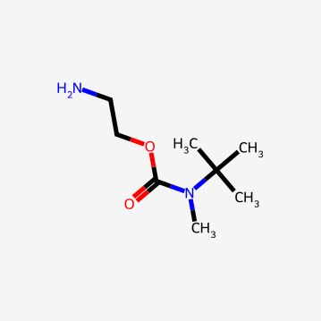 CN(C(=O)OCCN)C(C)(C)C